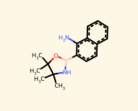 CC1(C)NB(c2ccc3ccccc3c2N)OC1(C)C